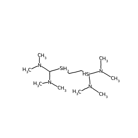 CN(C)C([SiH2]CC[SiH](N(C)C)N(C)C)N(C)C